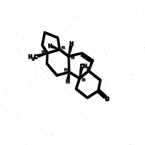 C[C@@]12CCC[C@H]1[C@@H]1C=CC3CC(=O)CC[C@]3(C)[C@@H]1CC2